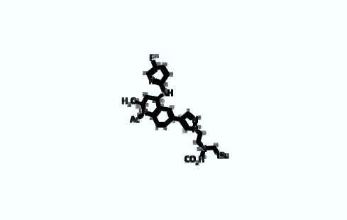 CC(=O)N1c2ccc(-c3cnn(CCN(CC(C)(C)C)C(=O)O)c3)cc2[C@H](Nc2ccc(F)cn2)C[C@@H]1C